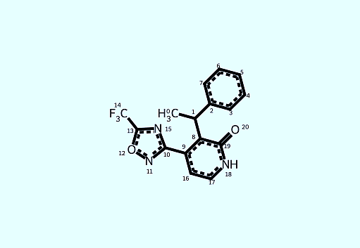 CC(c1ccccc1)c1c(-c2noc(C(F)(F)F)n2)cc[nH]c1=O